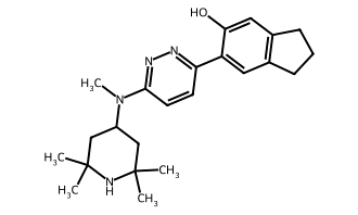 CN(c1ccc(-c2cc3c(cc2O)CCC3)nn1)C1CC(C)(C)NC(C)(C)C1